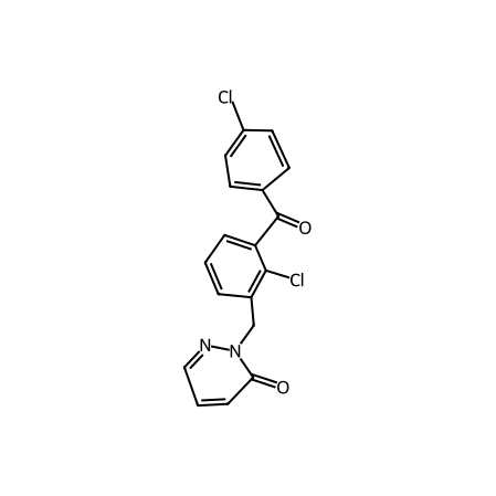 O=C(c1ccc(Cl)cc1)c1cccc(Cn2ncccc2=O)c1Cl